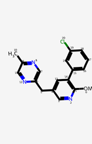 COc1ncc(Cc2cnc(C)cn2)cc1-c1cccc(Cl)c1